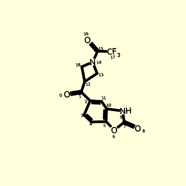 O=C(c1ccc2oc(=O)[nH]c2c1)C1CN(C(=O)C(F)(F)F)C1